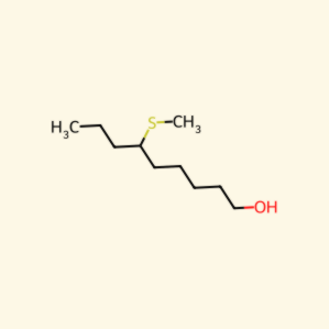 CCCC(CCCCCO)SC